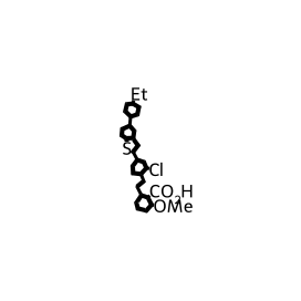 CCc1ccc(-c2ccc3sc(-c4ccc(C=Cc5cccc(OC)c5C(=O)O)c(Cl)c4)cc3c2)cc1